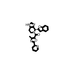 Cc1nc(-c2ccccn2)oc1C(=O)N1CCc2[nH]cnc2[C@H]1c1cc2ccccc2o1